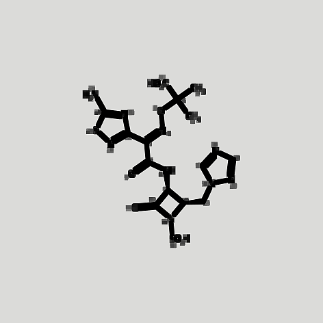 CC(C)(ON=C(C(=O)N[C@@H]1C(=O)N(S(=O)(=O)O)[C@@H]1Cn1cncn1)c1nsc(N)n1)C(=O)O